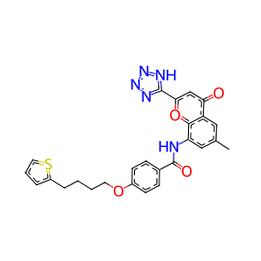 Cc1cc(NC(=O)c2ccc(OCCCCc3cccs3)cc2)c2oc(-c3nnn[nH]3)cc(=O)c2c1